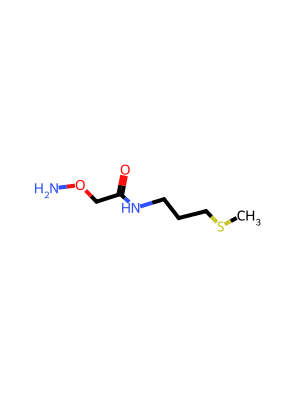 CSCCCNC(=O)CON